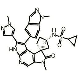 CN1C(=O)[C@@]2(CC[C@H](NS(=O)(=O)C3CC3)C2)c2c1cnc1[nH]c(-c3cnn(C)c3)c(-c3ccc4c(cnn4C)c3)c21